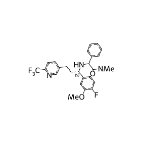 CNC(=O)C(N[C@@H](CCc1ccc(C(F)(F)F)nc1)c1ccc(F)c(OC)c1)c1ccccc1